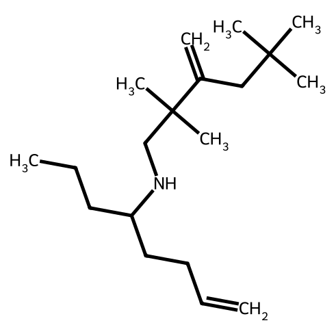 C=CCCC(CCC)NCC(C)(C)C(=C)CC(C)(C)C